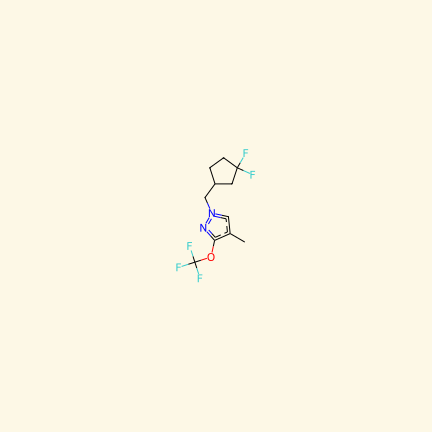 Cc1cn(CC2CCC(F)(F)C2)nc1OC(F)(F)F